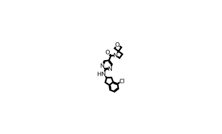 O=C(c1cnc(NC2Cc3cccc(Cl)c3C2)nc1)N1CCC12COC2